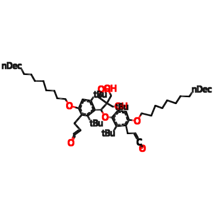 CCCCCCCCCCCCCCCCCCOc1cc(C(C)(C)C)c(OC(c2c(C(C)(C)C)cc(OCCCCCCCCCCCCCCCCCC)c(CC=C=O)c2C(C)(C)C)C(CO)(CO)CO)c(C(C)(C)C)c1CC=C=O